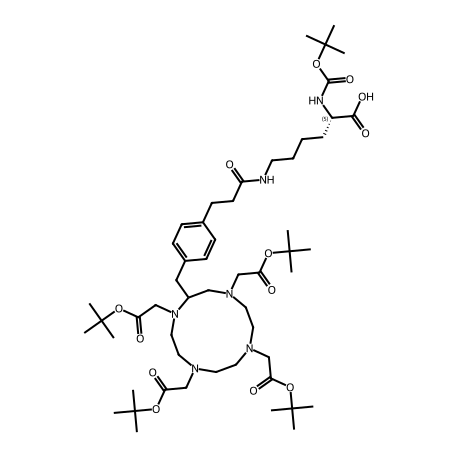 CC(C)(C)OC(=O)CN1CCN(CC(=O)OC(C)(C)C)CCN(CC(=O)OC(C)(C)C)C(Cc2ccc(CCC(=O)NCCCC[C@H](NC(=O)OC(C)(C)C)C(=O)O)cc2)CN(CC(=O)OC(C)(C)C)CC1